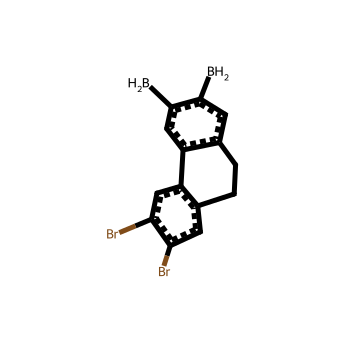 Bc1cc2c(cc1B)-c1cc(Br)c(Br)cc1CC2